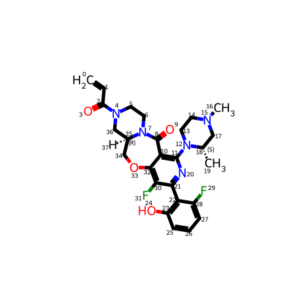 C=CC(=O)N1CCN2C(=O)c3c(N4CCN(C)C[C@@H]4C)nc(-c4c(O)cccc4F)c(F)c3OC[C@H]2C1